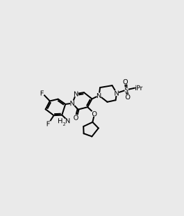 CC(C)S(=O)(=O)N1CCN(c2cnn(-c3cc(F)cc(F)c3N)c(=O)c2OC2CCCC2)CC1